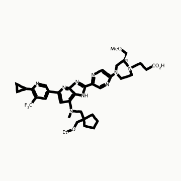 CCOCC1(CN(C)c2cc(-c3cnc(C4CC4)c(C(F)(F)F)c3)nc3nc(-c4cnc(N5CCN(CCC(=O)O)[C@H](COC)C5)cn4)[nH]c23)CCCC1